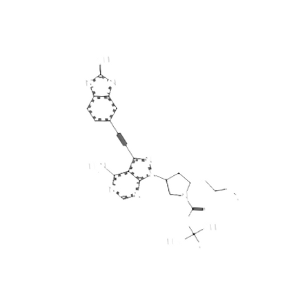 COCC[C@H]1CC(n2nc(C#Cc3ccc4[nH]c(C)nc4c3)c3c(N)ncnc32)CN1C(=O)OC(C)(C)C